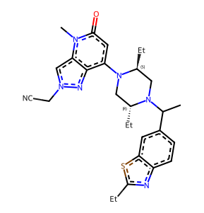 CCc1nc2ccc(C(C)N3C[C@H](CC)N(c4cc(=O)n(C)c5cn(CC#N)nc45)C[C@H]3CC)cc2s1